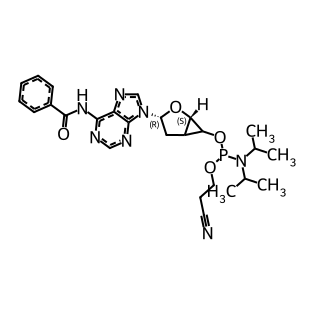 CC(C)N(C(C)C)P(OCCC#N)OC1C2C[C@H](n3cnc4c(NC(=O)c5ccccc5)ncnc43)O[C@@H]21